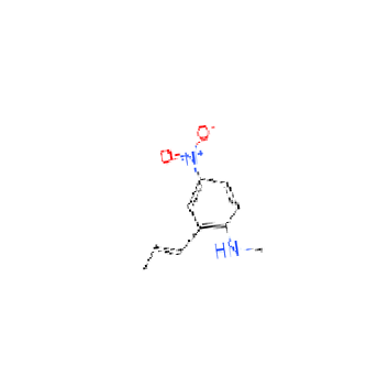 C/C=C/c1cc([N+](=O)[O-])ccc1NC